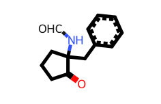 O=CNC1(Cc2ccccc2)CCCC1=O